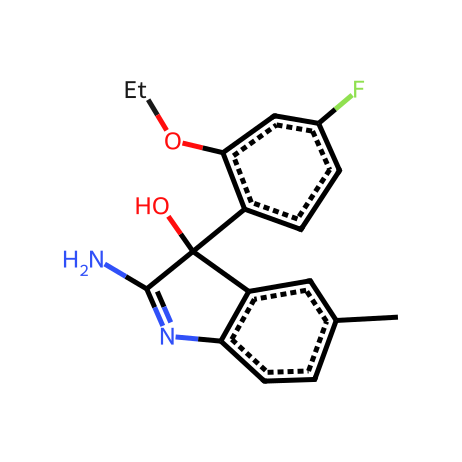 CCOc1cc(F)ccc1C1(O)C(N)=Nc2ccc(C)cc21